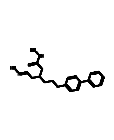 O=C(CC(CC=NO)CCCc1ccc(-c2ccccc2)cc1)NO